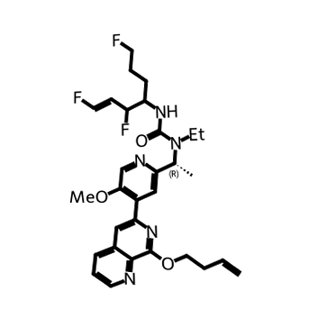 C=CCCOc1nc(-c2cc([C@@H](C)N(CC)C(=O)NC(CCCF)C(F)C=CF)ncc2OC)cc2cccnc12